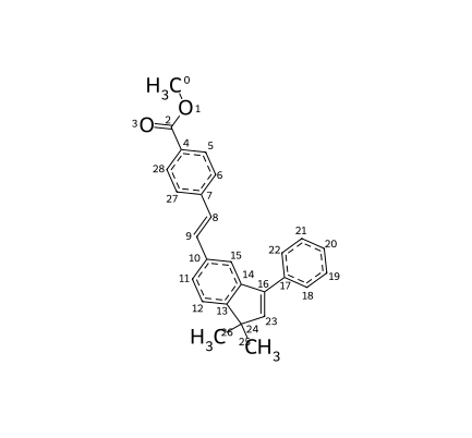 COC(=O)c1ccc(C=Cc2ccc3c(c2)C(c2ccccc2)=CC3(C)C)cc1